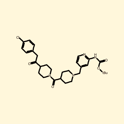 CC(C)(C)OC(=O)Nc1cc(CN2CCC(C(=O)N3CCC(C(=O)Cc4ccc(Cl)cc4)CC3)CC2)ccn1